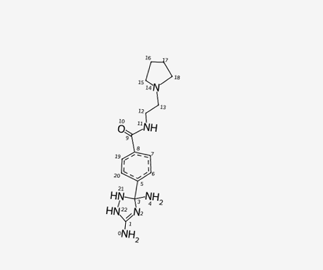 NC1=NC(N)(c2ccc(C(=O)NCCN3CCCC3)cc2)NN1